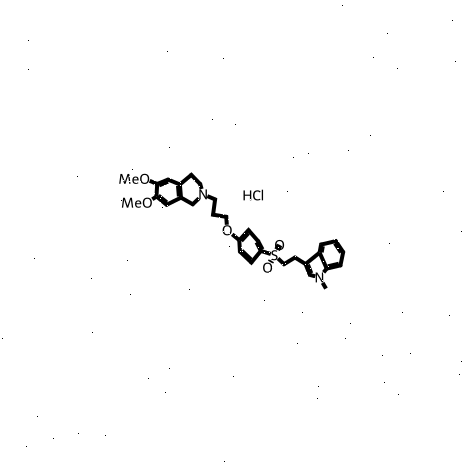 COc1cc2c(cc1OC)CN(CCCOc1ccc(S(=O)(=O)CCc3cn(C)c4ccccc34)cc1)CC2.Cl